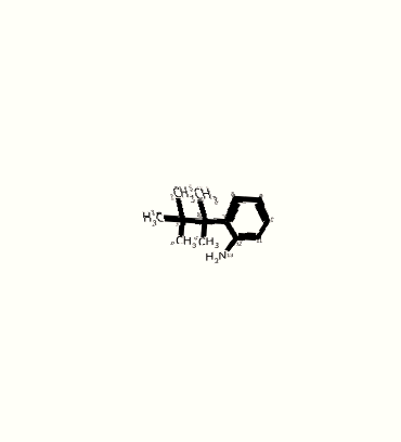 CC(C)(C)C(C)(C)c1ccccc1N